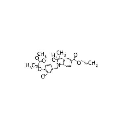 C=CCOC(=O)c1ccc2c(c1)c(C)c(C)n2Cc1ccc(O[C@@H](C)C(=O)OC)c(Cl)c1